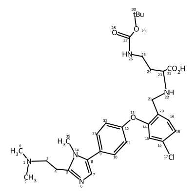 CN(C)CCc1ncc(-c2ccc(Oc3cc(Cl)ccc3CNC(CCNC(=O)OC(C)(C)C)C(=O)O)cc2)n1C